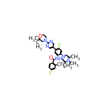 C[C@@H]1CN(c2cc(F)c(-c3cnc(N4CCOC(C)(C)C4)nc3)cc2NC(=O)c2ccc(F)cc2C(F)(F)F)C[C@H](C)N1C